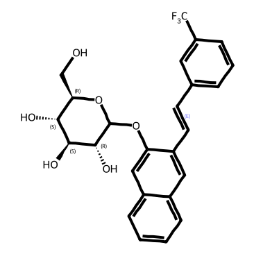 OC[C@H]1OC(Oc2cc3ccccc3cc2/C=C/c2cccc(C(F)(F)F)c2)[C@H](O)[C@@H](O)[C@@H]1O